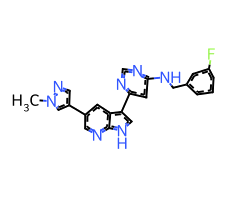 Cn1cc(-c2cnc3[nH]cc(-c4cc(NCc5cccc(F)c5)ncn4)c3c2)cn1